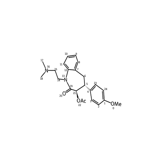 COc1ccc([C@H]2Cc3ccccc3N(CCN(C)C)C(=O)[C@@H]2OC(C)=O)cc1